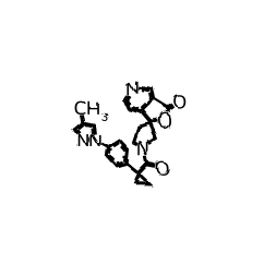 Cc1cnn(-c2ccc(C3(C(=O)N4CCC5(C4)OC(=O)c4cnccc45)CC3)cc2)c1